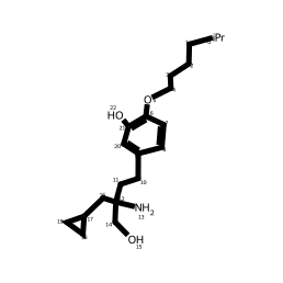 CC(C)CCCCOc1ccc(CCC(N)(CO)CC2CC2)cc1O